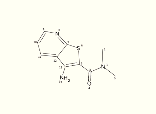 CN(C)C(=O)c1sc2ncccc2c1N